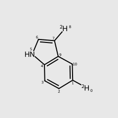 [2H]c1ccc2[nH]cc([2H])c2c1